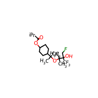 CC(C)C(=O)OC1CCC(C(C)(C)OC(C)(C)C(O)(CF)C(F)(F)F)CC1